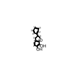 Oc1ccc2c(c1O)OCC(c1ccccc1)C2